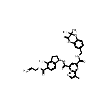 C=CCOC(=O)c1ccc2c(c1C)CC[C@@H]2NC(=O)c1cc(C(=O)NCc2ccc3c(c2)NC(=O)C(C)(C)O3)nc2c(F)cnn12